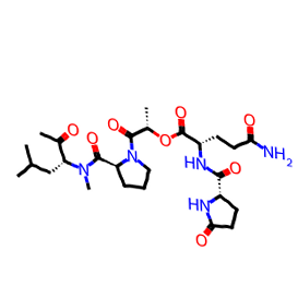 CC(=O)[C@@H](CC(C)C)N(C)C(=O)[C@@H]1CCCN1C(=O)[C@H](C)OC(=O)[C@H](CCC(N)=O)NC(=O)[C@@H]1CCC(=O)N1